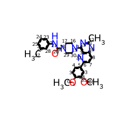 COc1ccc(-c2ccc3nc(C)nc(N4CCN(C(=O)Nc5cccc(C)c5)CC4)c3n2)cc1OC